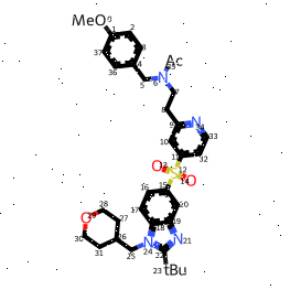 COc1ccc(CN(CCc2cc(S(=O)(=O)c3ccc4c(c3)nc(C(C)(C)C)n4CC3CCOCC3)ccn2)C(C)=O)cc1